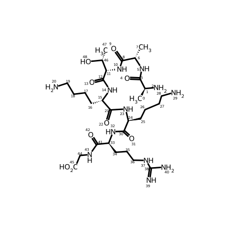 C[C@H](N)C(=O)N[C@@H](C)C(=O)N[C@H](C(=O)N[C@@H](CCCCN)C(=O)N[C@@H](CCCCN)C(=O)N[C@@H](CCCNC(=N)N)C(=O)NCC(=O)O)[C@@H](C)O